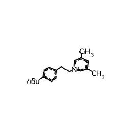 CCCCc1ccc(CC[n+]2cc(C)cc(C)c2)cc1